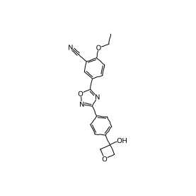 CCOc1ccc(-c2nc(-c3ccc(C4(O)COC4)cc3)no2)cc1C#N